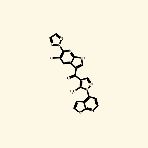 O=C(c1cnn(-c2ccnc3sccc23)c1C(F)(F)F)c1c[nH]c2nc(-n3nccn3)c(Cl)cc12